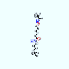 C/C(=N\OCCCCCC(=O)NCCCCC(C)(C)C)C(C)(C)C